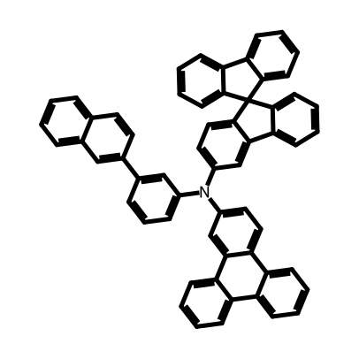 c1cc(-c2ccc3ccccc3c2)cc(N(c2ccc3c(c2)-c2ccccc2C32c3ccccc3-c3ccccc32)c2ccc3c4ccccc4c4ccccc4c3c2)c1